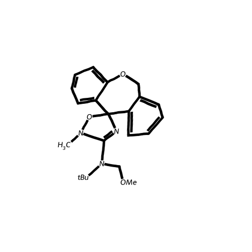 COCN(C1=NC2(ON1C)c1ccccc1COc1ccccc12)C(C)(C)C